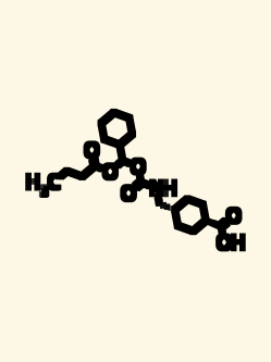 CCCC(=O)OC(OC(=O)NC[C@H]1CC[C@H](C(=O)O)CC1)C1CCCCC1